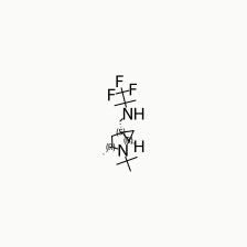 C[C@@H]1C[C@@]2(CNC(C)(C)C(F)(F)F)C[C@H]2N1C(C)(C)C